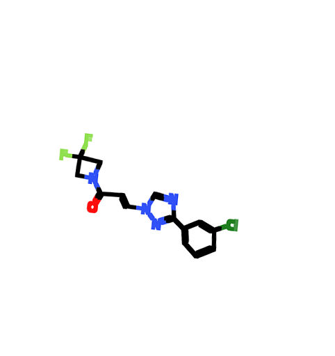 O=C(C=Cn1cnc(-c2cccc(Cl)c2)n1)N1CC(F)(F)C1